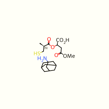 COC(=O)CC(OC(=O)[C@H](C)CS)C(=O)O.NC12CC3CC(CC(C3)C1)C2